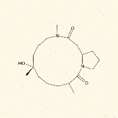 CC1CCC[C@](C)(O)CCCN(C)C(=O)CC2CCCN2C1=O